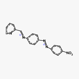 O=[N+]([O-])c1ccc(/N=N/c2ccc(/N=C/c3ccccn3)cc2)cc1